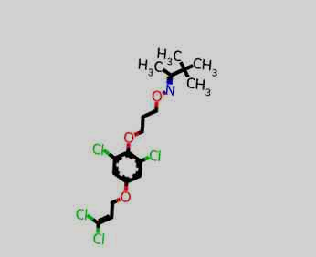 C/C(=N\OCCCOc1c(Cl)cc(OCC=C(Cl)Cl)cc1Cl)C(C)(C)C